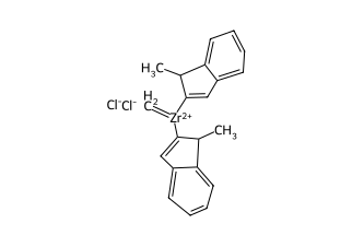 [CH2]=[Zr+2]([C]1=Cc2ccccc2C1C)[C]1=Cc2ccccc2C1C.[Cl-].[Cl-]